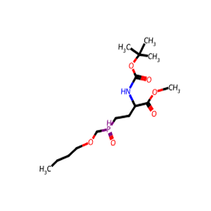 CCCCOC[PH](=O)CCC(NC(=O)OC(C)(C)C)C(=O)OC